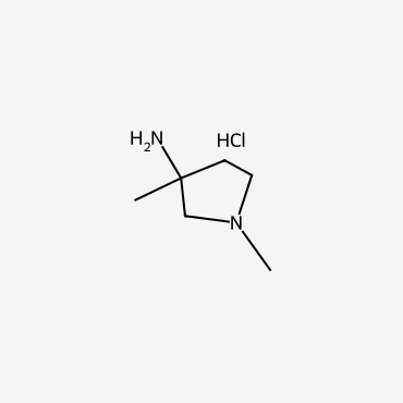 CN1CCC(C)(N)C1.Cl